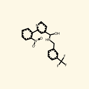 O=[N+]([O-])c1ccccc1-c1cc(C(O)NCc2cccc(C(F)(F)F)c2)ccn1